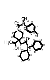 C=C(O)C1(CC(=O)N(c2ccccc2)C2CCCCC2)CCN(C(=O)N(C)c2ccc(F)cc2)CC1